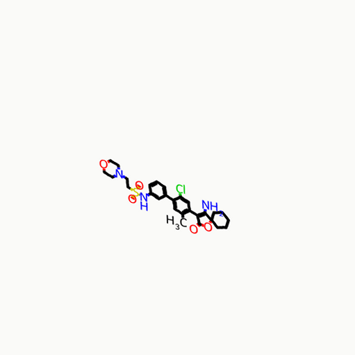 Cc1cc(-c2cccc(NS(=O)(=O)CCN3CCOCC3)c2)c(Cl)cc1C1=C(N)C2(CCCCC2)OC1=O